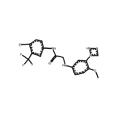 COc1ccc(NCC(=O)Nc2ccc(Cl)c(C(F)(F)F)c2)cc1-n1cn[nH]1